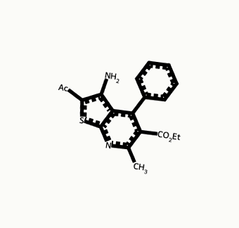 CCOC(=O)c1c(C)nc2sc(C(C)=O)c(N)c2c1-c1ccccc1